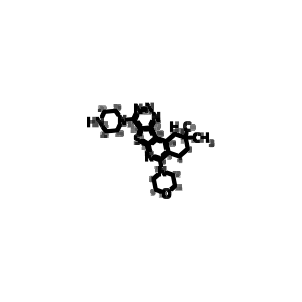 CC1(C)CCc2c(N3CCOCC3)nc3sc4c(N5CCNCC5)nnnc4c3c2C1